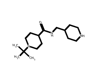 CC(C)(C)N1CCC(C(=O)NCC2CCNCC2)CC1